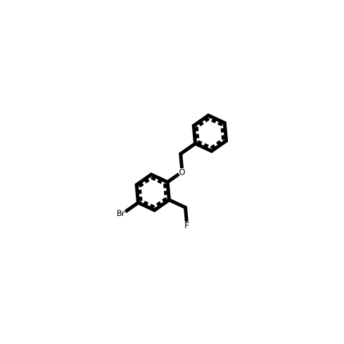 FCc1cc(Br)ccc1OCc1ccccc1